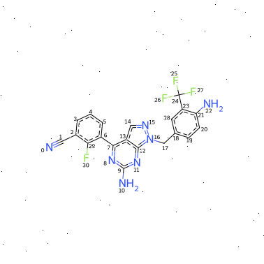 N#Cc1cccc(-c2nc(N)nc3c2cnn3Cc2ccc(N)c(C(F)(F)F)c2)c1F